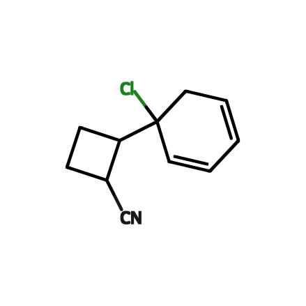 N#CC1CCC1C1(Cl)C=CC=CC1